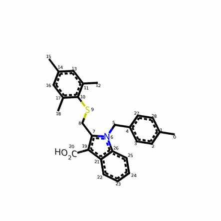 Cc1ccc(Cn2c(CSc3c(C)cc(C)cc3C)c(C(=O)O)c3ccccc32)cc1